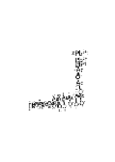 CC(=O)[O-].CC(=O)[O-].CC(=O)[O-].CC(=O)[O-].CC(=O)[O-].CC(=O)[O-].CC(=O)[O-].CC(=O)[O-].[Co+2].[Co+2].[Pb+2].[Pb+2].[Pb+2].[Pb+2].[Pb+2].[Pb+2]